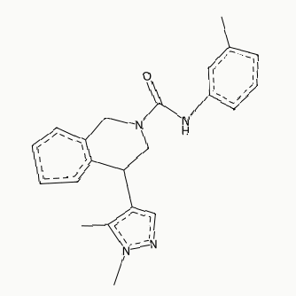 Cc1cccc(NC(=O)N2Cc3ccccc3C(c3cnn(C)c3C)C2)c1